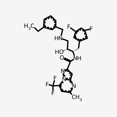 CCc1cccc(CNC[C@@H](O)[C@H](Cc2cc(F)cc(F)c2)NC(=O)c2cc3nc(C)cc(C(F)(F)F)n3n2)c1